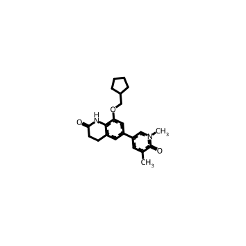 Cc1cc(-c2cc3c(c(OCC4CCCC4)c2)NC(=O)CC3)cn(C)c1=O